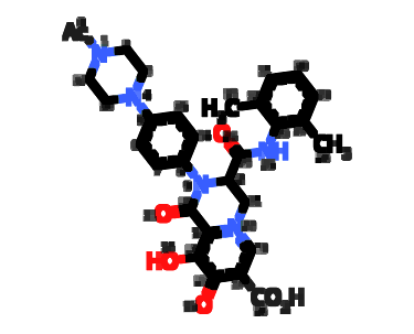 CC(=O)N1CCN(c2ccc(N3C(=O)c4c(O)c(=O)c(C(=O)O)cn4CC3C(=O)Nc3c(C)cccc3C)cc2)CC1